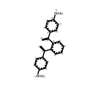 C=C(c1ccc(NC(C)=O)cc1)c1ccccc1C(=C)c1ccc(NC(C)=O)cc1